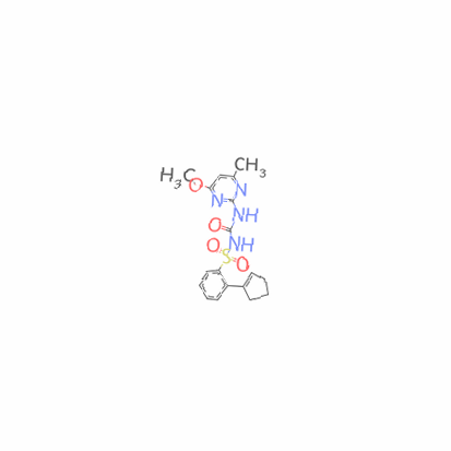 COc1cc(C)nc(NC(=O)NS(=O)(=O)c2ccccc2C2=CCCC2)n1